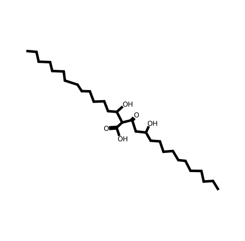 CCCCCCCCCCCCCC(O)C(C(=O)O)C(=O)CC(O)CCCCCCCCCCC